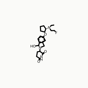 CCN(CCF)[C@H]1CCC[C@@H]1Oc1ccc2c(c1)CN(C1CCC(=O)NC1=O)C2O